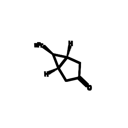 CCC[C@H]1[C@H]2CC(=O)C[C@@H]12